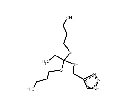 CCCCSC(CC)(NCc1c[nH]nn1)SCCCC